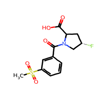 CS(=O)(=O)c1cccc(C(=O)N2C[C@@H](F)CC2C(=O)O)c1